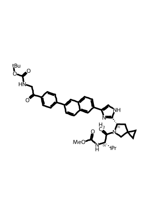 C=C([C@@H](NC(=O)OC)C(C)C)N1CC2(CC2)C[C@H]1c1nc(-c2ccc3cc(-c4ccc(C(=O)CNC(=O)OC(C)(C)C)cc4)ccc3c2)c[nH]1